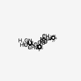 Cc1ncc(COc2ccccc2O/[P+]([O-])=N/C(C)C(=O)OCC2CCCC2)c(C=O)c1O